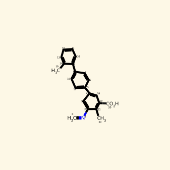 C=Nc1cc(-c2ccc(-c3ccccc3C)cc2)cc(C(=O)O)c1C